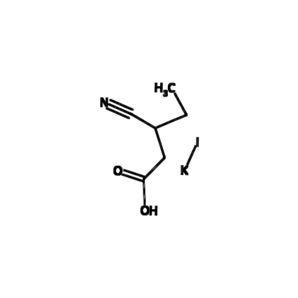 CCC(C#N)CC(=O)O.[K][I]